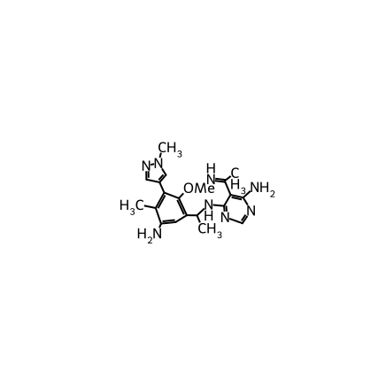 COc1c(C(C)Nc2ncnc(N)c2C(C)=N)cc(N)c(C)c1-c1cnn(C)c1